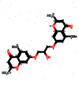 COc1cc(OCC(O)COc2cc(OC)c3c(=O)cc(C(=O)O)oc3c2)cc2oc(C(=O)O)cc(=O)c12